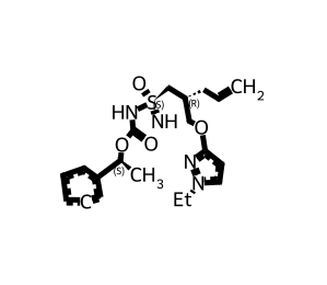 C=CC[C@H](COc1ccn(CC)n1)C[S@](=N)(=O)NC(=O)O[C@@H](C)c1ccccc1